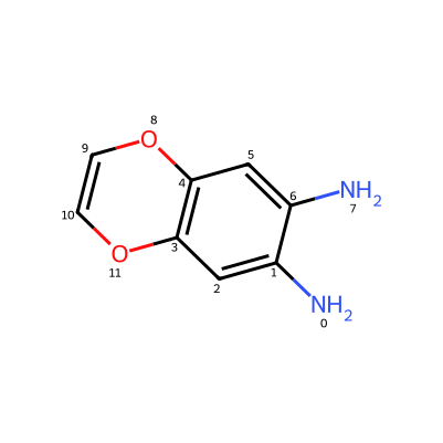 Nc1cc2c(cc1N)OC=CO2